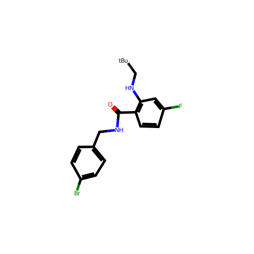 CC(C)(C)CNc1cc(F)ccc1C(=O)NCc1ccc(Br)cc1